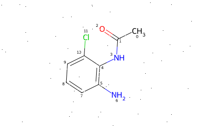 CC(=O)Nc1c(N)cccc1Cl